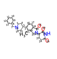 Cc1c(C2CCN(Cc3ccccc3)CC2)ccc2c1CN(C1CCC(=O)NC1=O)C2=O